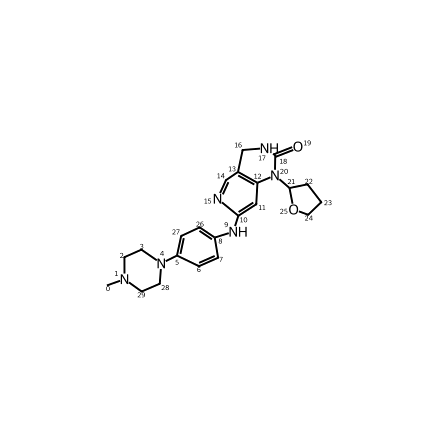 CN1CCN(c2ccc(Nc3cc4c(cn3)CNC(=O)N4C3CCCO3)cc2)CC1